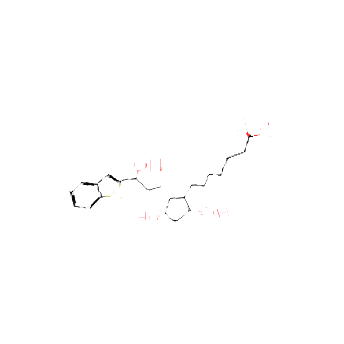 COC(=O)CCCCCCC1[C@@H](CC[C@@H](O)c2cc3ccccc3s2)[C@H](O)C[C@@H]1O